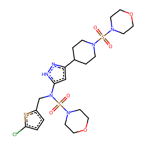 O=S(=O)(N1CCOCC1)N1CCC(c2cc(N(Cc3ccc(Cl)s3)S(=O)(=O)N3CCOCC3)[nH]n2)CC1